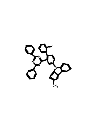 Cc1ccc2c(c1)c1ccccc1n2-c1ccc(-c2ccccc2F)c(-c2nc(-c3ccccc3)nc(-c3ccccc3)n2)c1